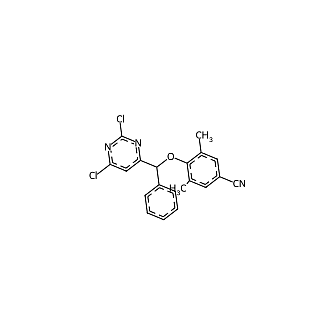 Cc1cc(C#N)cc(C)c1OC(c1ccccc1)c1cc(Cl)nc(Cl)n1